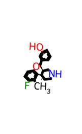 Cc1c(F)cccc1[C@@H]1[CH]CNC[C@@H]1C(=O)c1cccc(O)c1